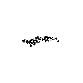 C/C=C/c1ccc(COC2CCC(c3ccc(OCCC)c(F)c3F)CO2)cc1